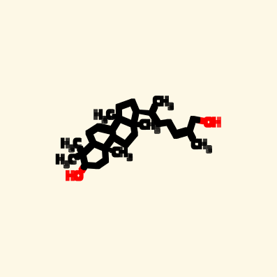 C/C(=C/CCC(C)[C@@H]1CC[C@]2(C)C3=CCC4C(C)(C)C(O)CC[C@]4(C)C3CC[C@@]12C)CO